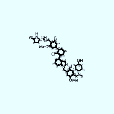 COc1cc(Cn2ncc3c(-c4cccc(-c5cc(F)c(CNC[C@@H]6CCC(=O)N6)c(OC)c5)c4Cl)cccc32)c(Cl)cc1CN(C)[C@H]1CC[C@H](O)CC1